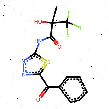 CC(O)(C(=O)Nc1nnc(C(=O)c2ccccc2)s1)C(F)(F)F